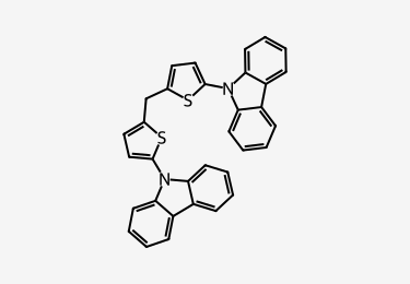 c1ccc2c(c1)c1ccccc1n2-c1ccc(Cc2ccc(-n3c4ccccc4c4ccccc43)s2)s1